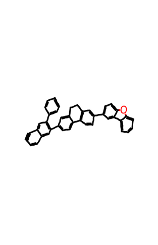 c1ccc2cc(-c3ccc4c(c3)CCc3cc(-c5ccc6oc7ccccc7c6c5)ccc3-4)c(-c3ccccc3)cc2c#1